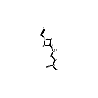 C=CN1CC(OCCC(C)C)C1